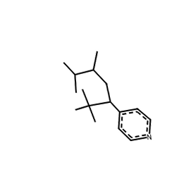 CC(C)C(C)CC(c1ccncc1)C(C)(C)C